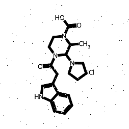 CC1C(N2CCCC2)N(C(=O)Cc2c[nH]c3ccccc23)CCN1C(=O)O.Cl